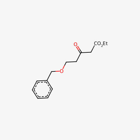 CCOC(=O)CC(=O)CCOCc1ccccc1